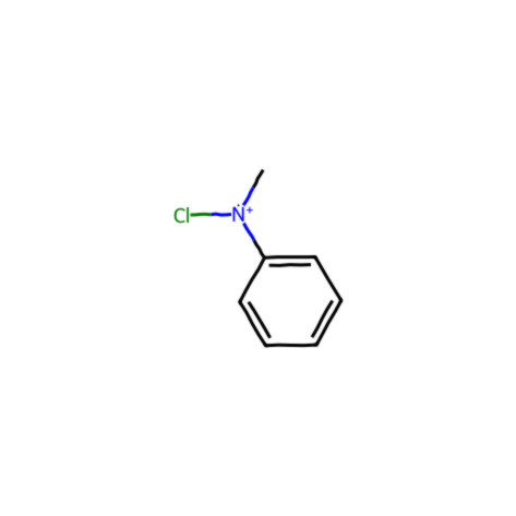 C[N+](Cl)c1ccccc1